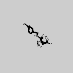 CC[C@@]1(C(=O)NCc2ccc(Cl)cc2)CC1(Cl)Cl